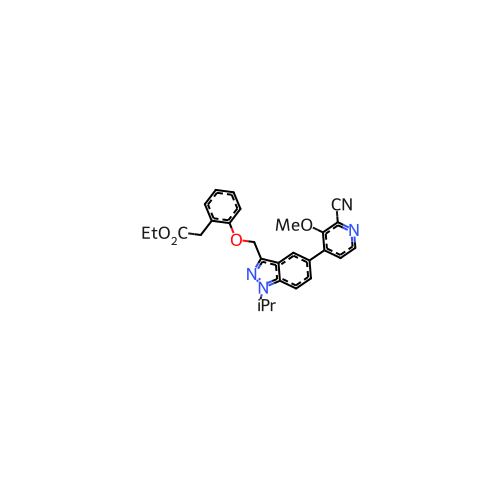 CCOC(=O)Cc1ccccc1OCc1nn(C(C)C)c2ccc(-c3ccnc(C#N)c3OC)cc12